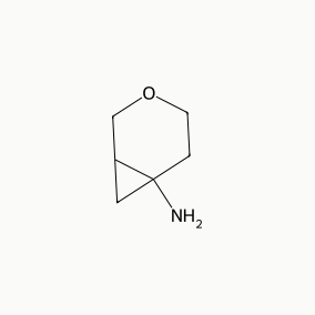 NC12CCOCC1C2